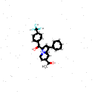 CC(=O)c1ccn2c(C(=O)c3ccc(C(F)(F)F)cc3)cc(-c3ccccc3)c2c1